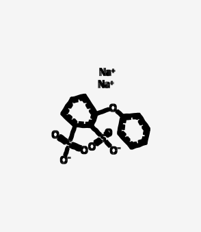 O=S(=O)([O-])c1cccc(Oc2ccccc2)c1S(=O)(=O)[O-].[Na+].[Na+]